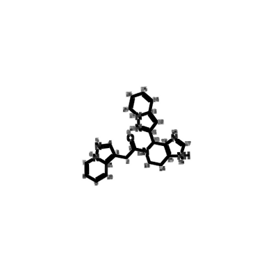 O=C(Cc1cnn2ccccc12)N1CCc2[nH]cnc2C1c1cc2ccccn2n1